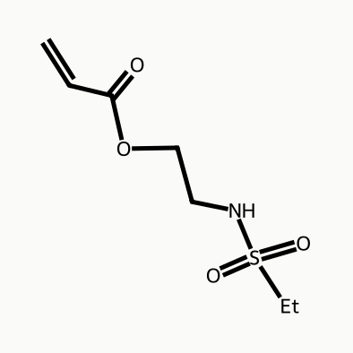 C=CC(=O)OCCNS(=O)(=O)CC